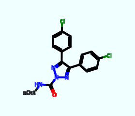 CCCCCCCCNC(=O)n1nc(-c2ccc(Cl)cc2)c(-c2ccc(Cl)cc2)n1